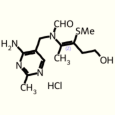 CS/C(CCO)=C(/C)N(C=O)Cc1cnc(C)nc1N.Cl